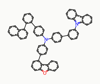 c1cc(-c2ccc(N(c3ccc(-c4ccccc4-c4cccc5ccccc45)cc3)c3ccc(-c4cccc5oc6ccccc6c45)cc3)cc2)cc(-n2c3ccccc3c3ccccc32)c1